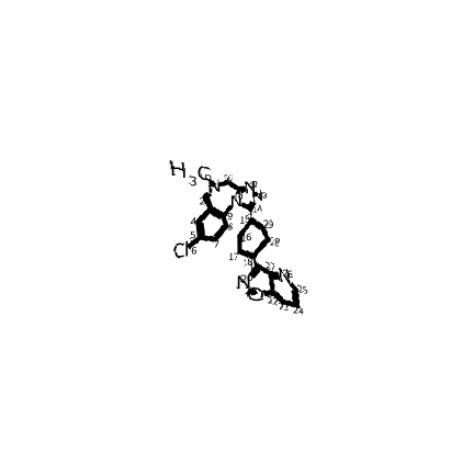 CN1Cc2cc(Cl)ccc2-n2c(nnc2[C@H]2CC[C@H](c3noc4cccnc43)CC2)C1